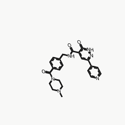 CN1CCN(C(=O)c2ccc(CNC(=O)c3cc(-c4ccncc4)n[nH]c3=O)cc2)CC1